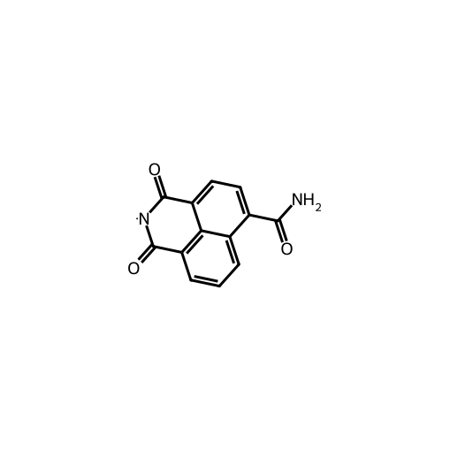 NC(=O)c1ccc2c3c(cccc13)C(=O)[N]C2=O